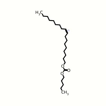 CCCCCCCC/C=C\CCCCCCCCOC(=O)OCCCCC